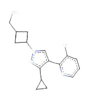 NCC1CC(n2cc(-c3ncccc3C(F)(F)F)c(C3CC3)n2)C1